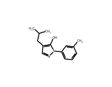 Cc1cccc(-n2ncc(CC(C)C)c2O)c1